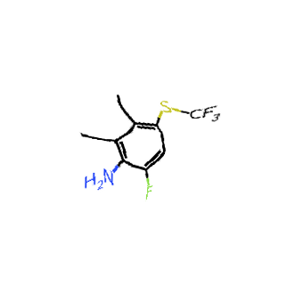 Cc1c(SC(F)(F)F)cc(F)c(N)c1C